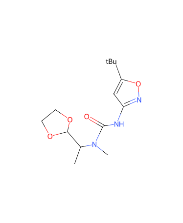 CC(C1OCCO1)N(C)C(=O)Nc1cc(C(C)(C)C)on1